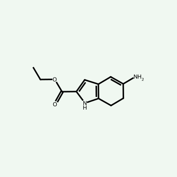 CCOC(=O)c1cc2c([nH]1)CCC(N)=C2